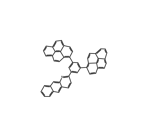 c1ccc2cc3nc(-c4cc(-c5ccc6ccc7cccc8ccc5c6c78)cc(-c5ccc6ccc7cccc8ccc5c6c78)c4)ccc3cc2c1